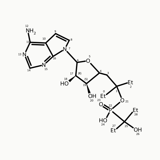 CCC(CC)(CC1OC(n2ccc3c(N)ncnc32)[C@H](O)[C@@H]1O)OP(=O)(O)C(O)(CC)CC